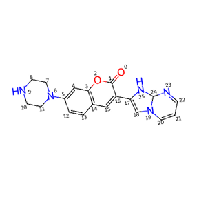 O=c1oc2cc(N3CCNCC3)ccc2cc1C1=CN2C=CC=NC2N1